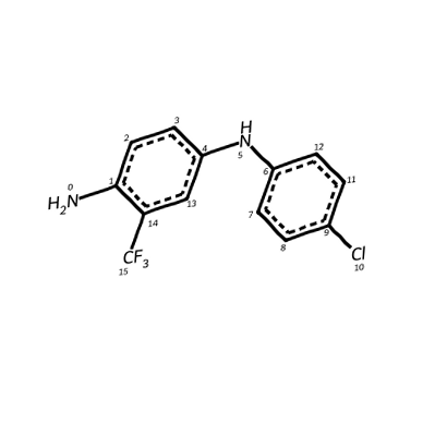 Nc1ccc(Nc2ccc(Cl)cc2)cc1C(F)(F)F